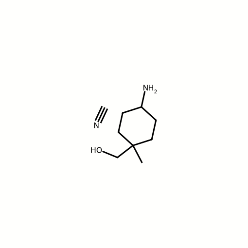 C#N.CC1(CO)CCC(N)CC1